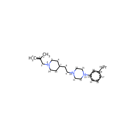 C=C(C)CN1CCC(CCN2CCN(c3cccc(C(C)C)c3)CC2)CC1